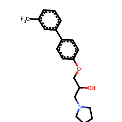 OC(COc1ccc(-c2cccc(C(F)(F)F)c2)cc1)CN1CCCC1